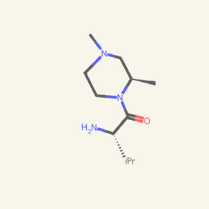 CC(C)[C@H](N)C(=O)N1CCN(C)C[C@H]1C